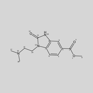 COC(=O)c1ccc2c(c1)[nH]c(=O)n2CCN(C)C